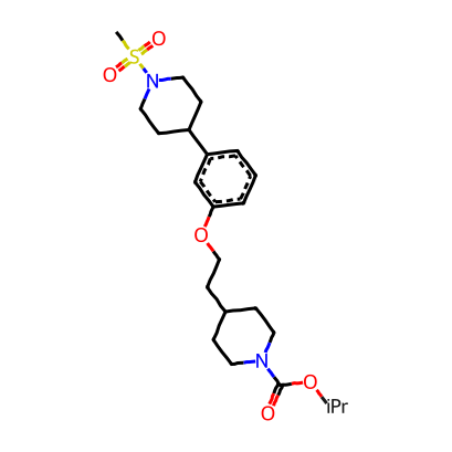 CC(C)OC(=O)N1CCC(CCOc2cccc(C3CCN(S(C)(=O)=O)CC3)c2)CC1